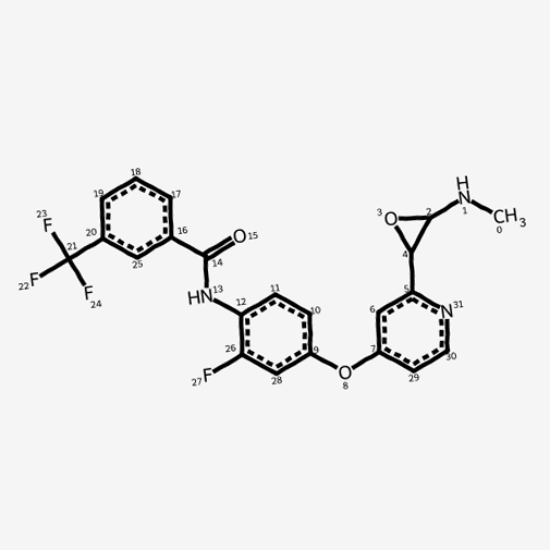 CNC1OC1c1cc(Oc2ccc(NC(=O)c3cccc(C(F)(F)F)c3)c(F)c2)ccn1